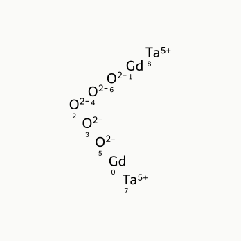 [Gd].[Gd].[O-2].[O-2].[O-2].[O-2].[O-2].[Ta+5].[Ta+5]